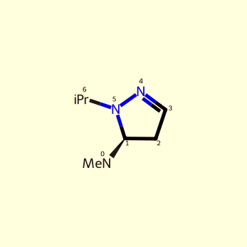 CN[C@@H]1CC=NN1C(C)C